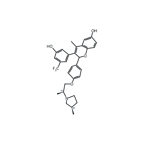 CC1=C(c2cc(O)cc(C(F)(F)F)c2)C(c2ccc(OC[C@H](C)N3CC[C@@H](C)C3)cc2)Oc2ccc(O)cc21